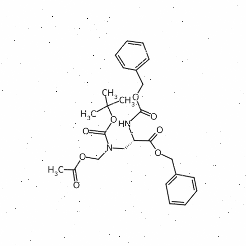 CC(=O)OCN(C[C@H](NC(=O)OCc1ccccc1)C(=O)OCc1ccccc1)C(=O)OC(C)(C)C